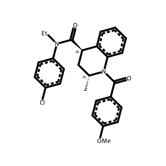 CCN(C(=O)[C@@H]1C[C@@H](C)N(C(=O)c2ccc(OC)cc2)c2ccccc21)c1ccc(Cl)cc1